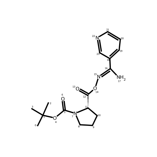 CC(C)(C)OC(=O)N1CCC[C@H]1C(=O)O/N=C(\N)c1cccnc1